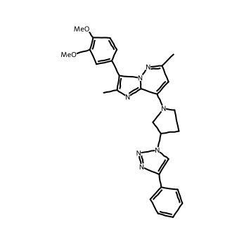 COc1ccc(-c2c(C)nc3c(N4CCC(n5cc(-c6ccccc6)nn5)C4)cc(C)nn23)cc1OC